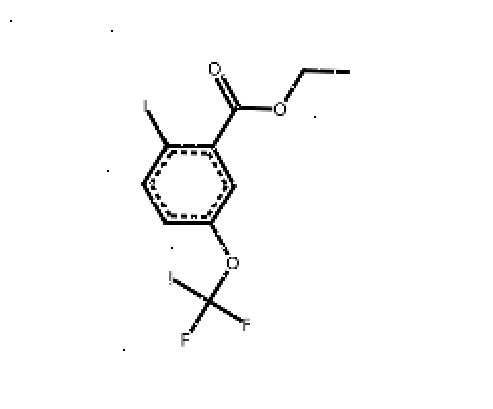 CCOC(=O)c1cc(OC(F)(F)I)ccc1I